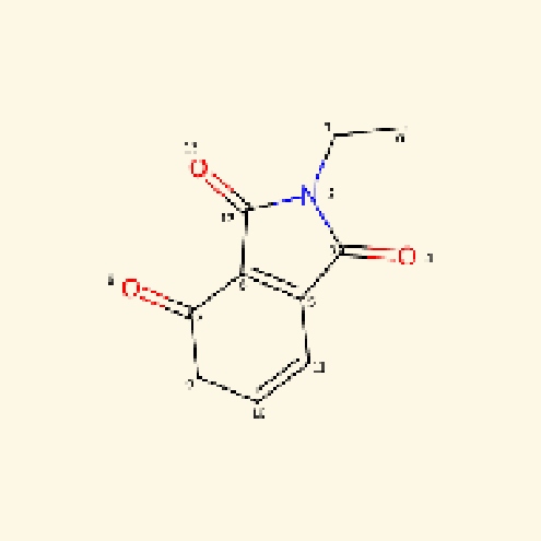 [CH2]CN1C(=O)C2=C(C(=O)CC=C2)C1=O